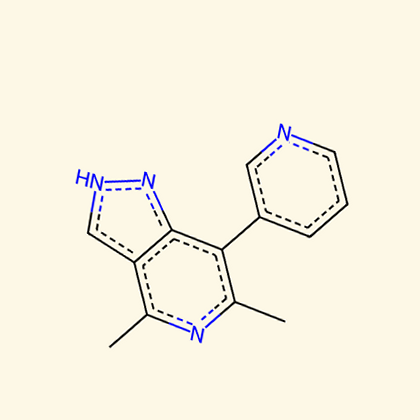 Cc1nc(C)c2c[nH]nc2c1-c1cccnc1